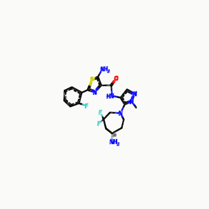 Cn1ncc(NC(=O)c2nc(-c3ccccc3F)sc2N)c1N1CC[C@H](N)CC(F)(F)C1